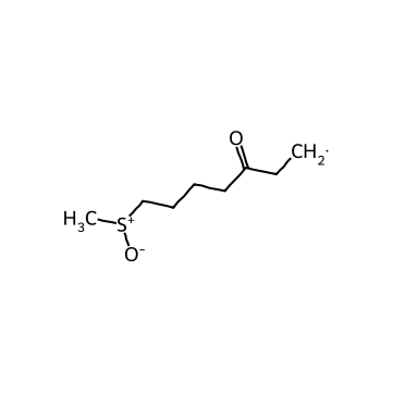 [CH2]CC(=O)CCCC[S+](C)[O-]